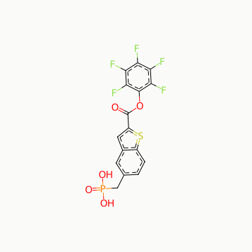 O=C(Oc1c(F)c(F)c(F)c(F)c1F)c1cc2cc(CP(=O)(O)O)ccc2s1